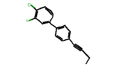 CCC#Cc1ccc(-c2ccc(Cl)c(F)c2)cc1